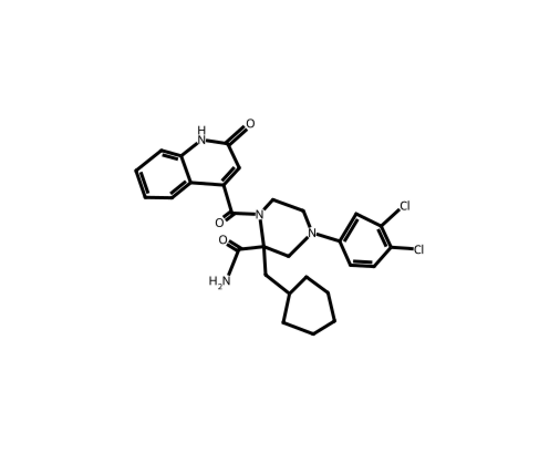 NC(=O)C1(CC2CCCCC2)CN(c2ccc(Cl)c(Cl)c2)CCN1C(=O)c1cc(=O)[nH]c2ccccc12